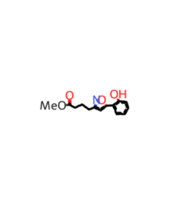 COC(=O)CCCc1cc(-c2ccccc2O)on1